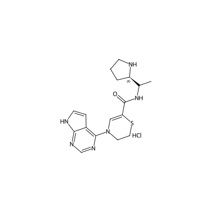 CC(NC(=O)C1=CN(c2ncnc3[nH]ccc23)CCS1)[C@H]1CCCN1.Cl